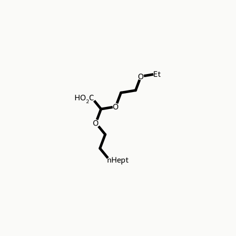 CCCCCCCCCOC(OCCOCC)C(=O)O